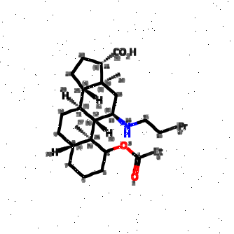 CCC(=O)OC1CCC[C@@H]2CC[C@@H]3[C@H]([C@H](NCCC(C)C)C[C@]4(C)[C@@H](C(=O)O)CC[C@@H]34)[C@@]12C